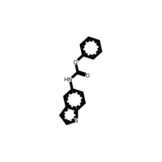 O=C(Nc1ccc2sccc2c1)Oc1ccccc1